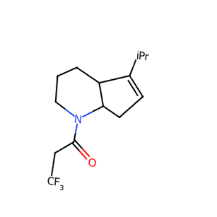 CC(C)C1=CCC2C1CCCN2C(=O)CC(F)(F)F